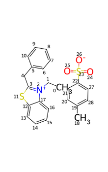 CC[n+]1c(Cc2ccccc2)sc2ccccc21.Cc1ccc(S(=O)(=O)[O-])cc1